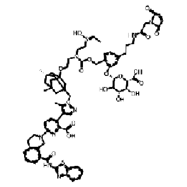 C/C=S(/O)CCN(CCOC12CC3(C)CC(Cn4ncc(-c5ccc(N6CCc7cccc(C(=O)Nc8nc9ccccc9s8)c7C6)nc5C(=O)O)c4C)(C1)C[C@@](C)(C3)C2)C(=O)OCc1ccc(CCCNC(=O)CN2C(=O)C=CC2=O)cc1O[C@@H]1O[C@H](C(=O)O)[C@@H](O)[C@H](O)[C@H]1O